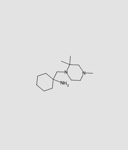 CN1CCN(CC2(N)CCCCC2)C(C)(C)C1